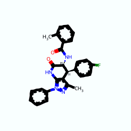 Cc1ccccc1C(=O)N[C@H]1C(=O)Nc2c(c(C)nn2-c2ccccc2)[C@@H]1c1ccc(F)cc1